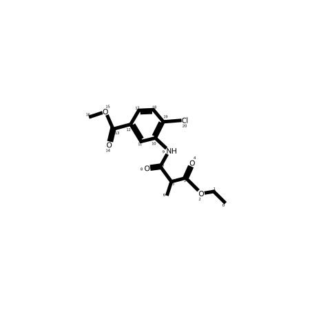 CCOC(=O)C(C)C(=O)Nc1cc(C(=O)OC)ccc1Cl